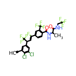 C#Cc1cc(C(/C=C(\F)c2ccc(C(=O)NC(C)C(=O)NCC(F)(F)F)c(C(F)(F)F)c2)C(F)(F)F)cc(Cl)c1Cl